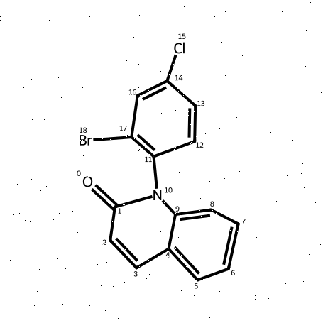 O=c1ccc2ccccc2n1-c1ccc(Cl)cc1Br